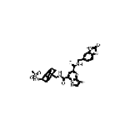 CS(=O)(=O)NC12C3C4C1C21CC4(CNC(=O)c2cc(C(=O)NCc4ccc5oc(=O)[nH]c5c4)nc4c(F)cnn24)C31